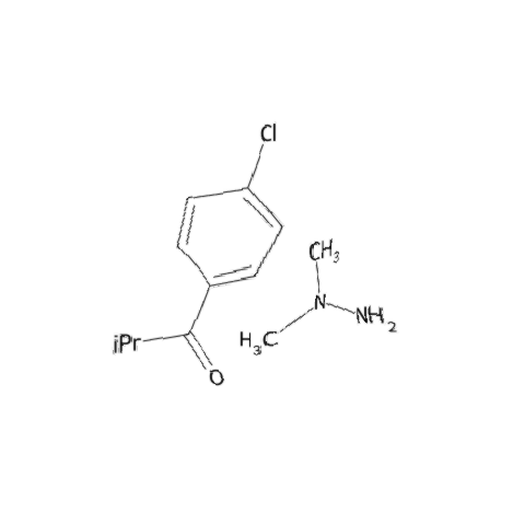 CC(C)C(=O)c1ccc(Cl)cc1.CN(C)N